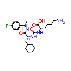 C[C@@H](NC(=O)[C@@H](CC1CCCCC1)NC(=O)N[C@@H](CCCCN)C(=O)O)c1ccc(F)cc1